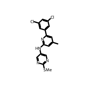 CSc1ncc(Nc2cc(C)cc(-c3cc(Cl)cc(Cl)c3)n2)cn1